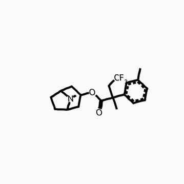 Cc1cccc(C(C)(CC(F)(F)F)C(=O)OC2CC3CCC(C2)N3C)c1